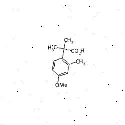 COc1ccc(C(C)(C)C(=O)O)c(C)c1